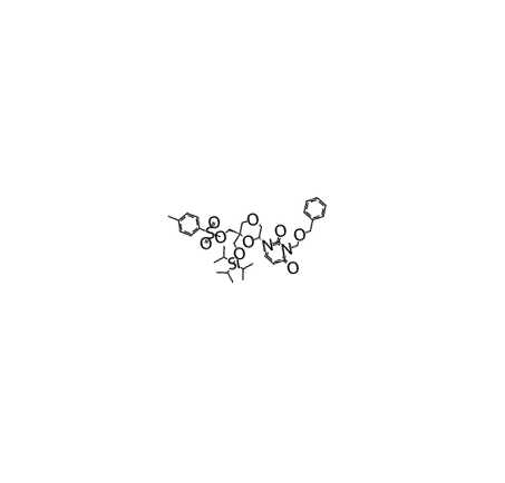 Cc1ccc(S(=O)(=O)OC[C@@]2(CO[Si](C(C)C)(C(C)C)C(C)C)COC[C@H](n3ccc(=O)n(COCc4ccccc4)c3=O)O2)cc1